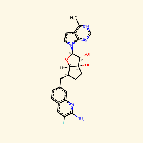 Cc1ncnc2c1ccn2[C@@H]1O[C@@H]2[C@H](Cc3ccc4cc(F)c(N)nc4c3)CC[C@]2(O)[C@H]1O